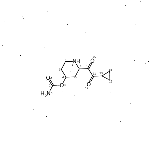 NC(=O)OC1CCNC(C(=O)C(=O)C2CC2)C1